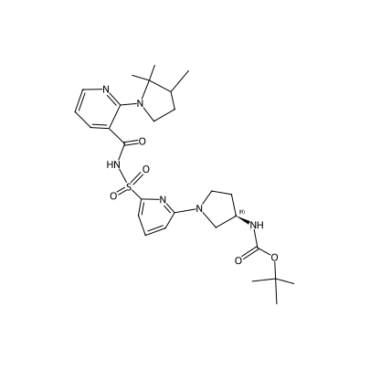 CC1CCN(c2ncccc2C(=O)NS(=O)(=O)c2cccc(N3CC[C@@H](NC(=O)OC(C)(C)C)C3)n2)C1(C)C